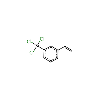 C=Cc1cccc([Si](Cl)(Cl)Cl)c1